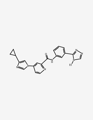 CCn1cnnc1-c1cccc(NC(=O)c2cc(-n3cnc(C4CC4)c3)ccn2)c1